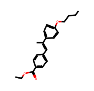 CCCCOc1ccc(C(C)=Cc2ccc(C(=O)OCC)cc2)cc1